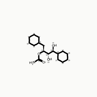 NC(=O)O[C@@H](CC1CCCCC1)[C@@H](O)[C@@H](O)C1CCCCC1